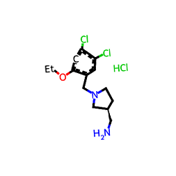 CCOc1cc(Cl)c(Cl)cc1CN1CC[C@@H](CN)C1.Cl